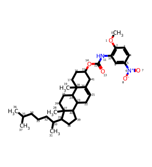 COc1ccc([N+](=O)[O-])cc1NC(=O)OC1CCC2(C)C(=CCC3C2CCC2(C)C(C(C)CCCC(C)C)CCC32)C1